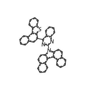 c1ccc2c(c1)cc(-c1nc(-n3c4ccc5ccccc5c4c4c5ccccc5ccc43)nc3ccccc13)c1sc3ccccc3c12